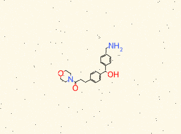 NCc1ccc(C(O)c2ccc(CCC(=O)N3CCOCC3)cc2)cc1